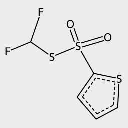 O=S(=O)(SC(F)F)c1cccs1